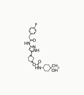 CC1(O)CCC(NC(=O)O[C@H]2CC[C@@H](c3cc(NC(=O)Cc4ccc(F)cc4)n[nH]3)C2)CC1